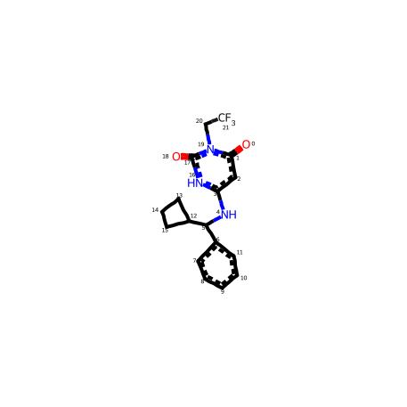 O=c1cc(NC(c2ccccc2)C2CCC2)[nH]c(=O)n1CC(F)(F)F